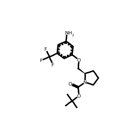 CC(C)(C)OC(=O)N1CCC[C@@H]1COc1cc(N)cc(C(F)(F)F)c1